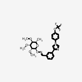 CO[C@@H]1[C@@H](OC)[C@H](C)O[C@@H](O/N=C/c2cccc(-c3cn(-c4ccc(OC(F)(F)F)cc4)cn3)c2)[C@@H]1OC